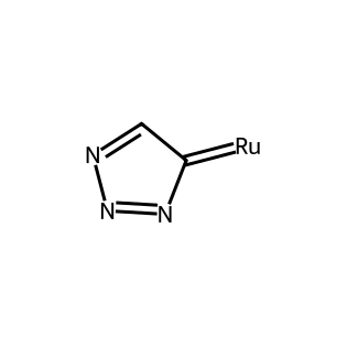 [Ru]=[C]1C=NN=N1